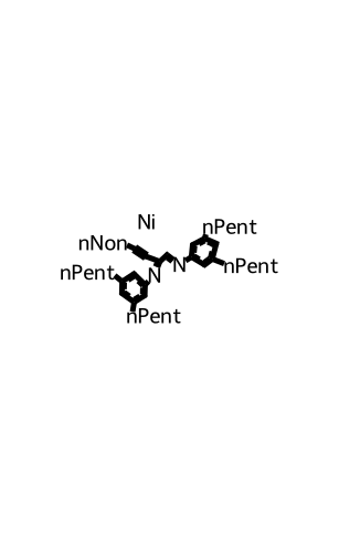 CCCCCCCCCC#CC(C=Nc1cc(CCCCC)cc(CCCCC)c1)=Nc1cc(CCCCC)cc(CCCCC)c1.[Ni]